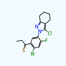 CCC(=S)c1cc(-n2nc3c(c2Cl)CCCC3)c(F)cc1Br